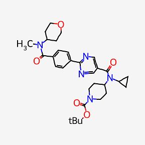 CN(C(=O)c1ccc(-c2ncc(C(=O)N(C3CC3)C3CCN(C(=O)OC(C)(C)C)CC3)cn2)cc1)C1CCOCC1